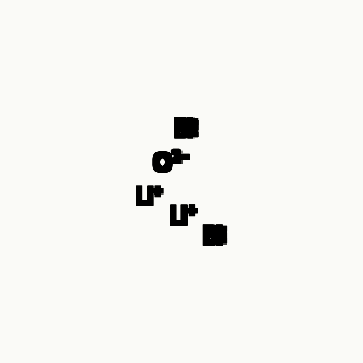 [Bi].[Bi].[Li+].[Li+].[O-2]